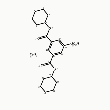 O=C(OC1CCCCC1)c1cc(C(=O)OC2CCCCC2)cc(S(=O)(=O)O)c1.[CaH2]